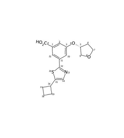 O=C(O)c1cc(O[C@@H]2CCOC2)cc(-c2ncc(C3CCC3)s2)c1